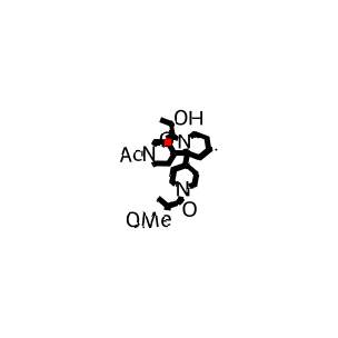 COC(C)C(=O)N1CCC(C2(C3CCN(C(C)=O)CC3)C[CH]CCN2C(=O)C(C)O)CC1